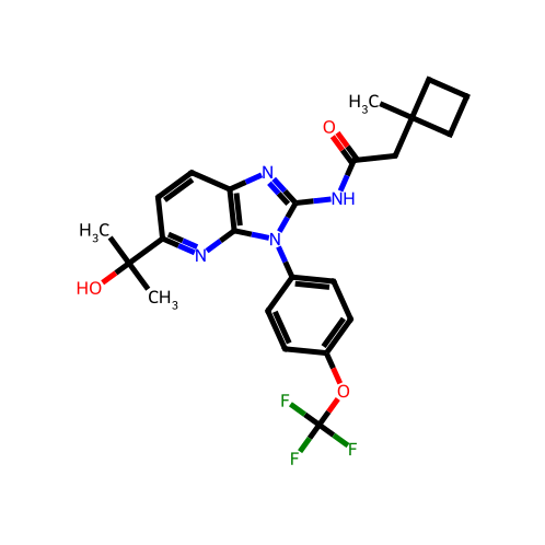 CC1(CC(=O)Nc2nc3ccc(C(C)(C)O)nc3n2-c2ccc(OC(F)(F)F)cc2)CCC1